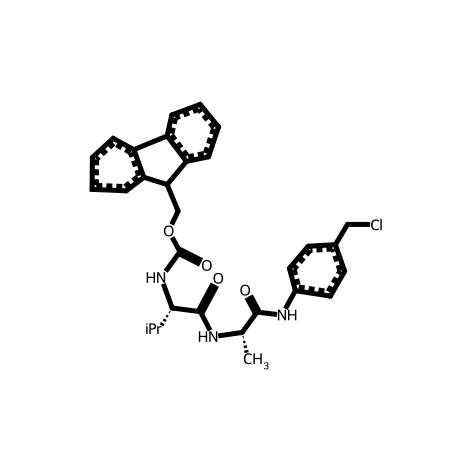 CC(C)[C@H](NC(=O)OCC1c2ccccc2-c2ccccc21)C(=O)N[C@@H](C)C(=O)Nc1ccc(CCl)cc1